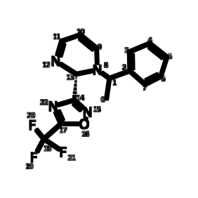 CC(c1ccccc1)N1C=CC=N[C@H]1c1noc(C(F)(F)F)n1